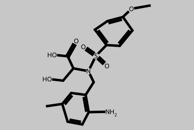 COc1ccc(S(=O)(=O)N(Cc2cc(C)ccc2N)C(CO)C(=O)O)cc1